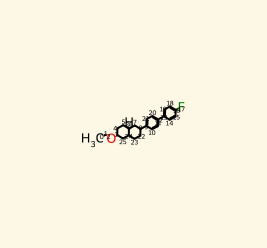 CCO[C@@H]1CC[C@@H]2CC(c3ccc(-c4ccc(F)cc4)cc3)CCC2C1